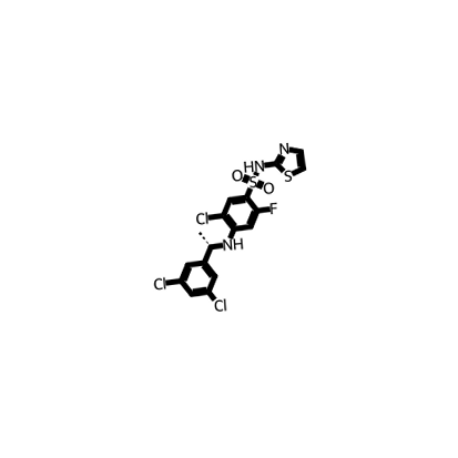 C[C@H](Nc1cc(F)c(S(=O)(=O)Nc2nccs2)cc1Cl)c1cc(Cl)cc(Cl)c1